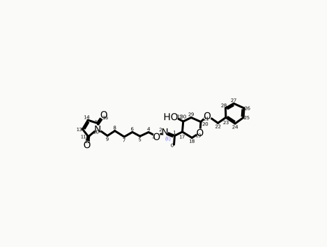 C/C(=N\OCCCCCCN1C(=O)C=CC1=O)C1COC(OCc2ccccc2)CC1O